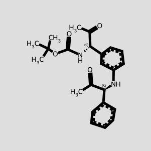 CC(=O)[C@@H](NC(=O)OC(C)(C)C)c1cccc(N[C@H](C(C)=O)c2ccccc2)c1